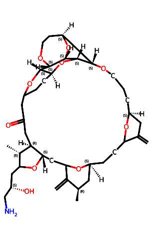 C=C1C[C@@H]2CCCO[C@@H]3[C@@H]4O[C@H]5CCC(CC(=O)C[C@H]6[C@H](CC7O[C@@H](CCC1O2)C[C@@H](C)C7=C)OC(C[C@H](O)CN)[C@@H]6C)O[C@@H]5[C@@H]1OCC[C@@H]3O[C@H]41